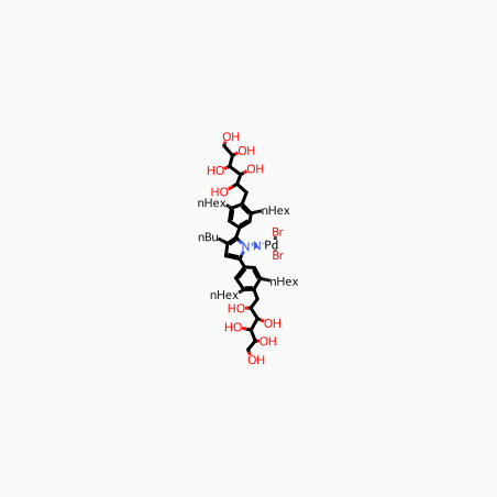 CCCCCCc1cc(C2=CC(CCCC)=C(c3cc(CCCCCC)c(CC(O)C(O)C(O)C(O)CO)c(CCCCCC)c3)[N+]2=[N-])cc(CCCCCC)c1CC(O)C(O)C(O)C(O)CO.[Br][Pd][Br]